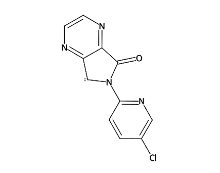 O=C1c2nccnc2[C]N1c1ccc(Cl)cn1